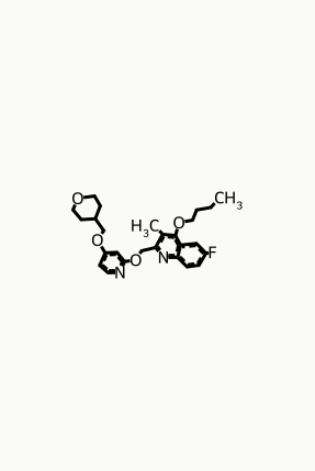 CCCCOc1c(C)c(COc2cc(OCC3CCOCC3)ccn2)nc2ccc(F)cc12